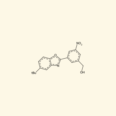 CC(C)(C)c1ccc2oc(-c3cc(CO)cc([N+](=O)[O-])c3)nc2c1